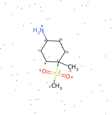 CC1(S(C)(=O)=O)CCC(N)CC1